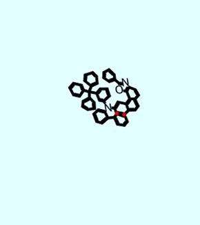 c1ccc(-c2nc3ccc4ccc5ccc(N(c6cccc(C(c7ccccc7)(c7ccccc7)c7ccccc7)c6)c6ccccc6-c6ccccc6)cc5c4c3o2)cc1